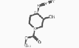 CC(C)(C)OC(=O)N1CC[C@@H](N=[N+]=[N-])C(O)C1